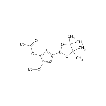 CCOc1cc(B2OC(C)(C)C(C)(C)O2)sc1OC(=O)CC